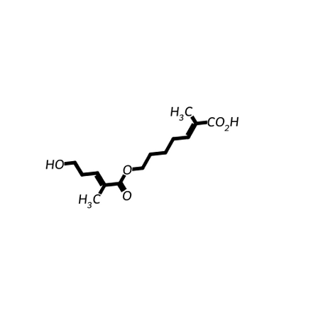 CC(=CCCCCOC(=O)C(C)=CCCO)C(=O)O